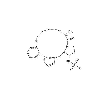 CCS(=O)(=O)NC1CCN2C(=O)[C@@H](C)OCCCCOc3ccccc3-c3cccc(c3)CC12